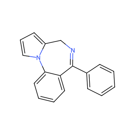 c1ccc(C2=NCc3cccn3-c3ccccc32)cc1